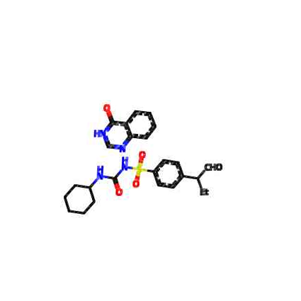 CCC(C=O)c1ccc(S(=O)(=O)NC(=O)NC2CCCCC2)cc1.O=c1[nH]cnc2ccccc12